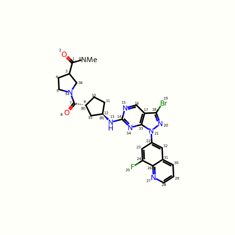 CNC(=O)C1CCN(C(=O)[C@@H]2CC[C@@H](Nc3ncc4c(Br)nn(-c5cc(F)c6ncccc6c5)c4n3)C2)C1